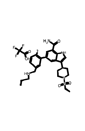 CCCNCc1ccc(F)c(-c2cc(C(N)=O)c3[nH]cc(C4CCN(S(=O)(=O)CC)CC4)c3c2)c1.O=C(O)C(F)(F)F